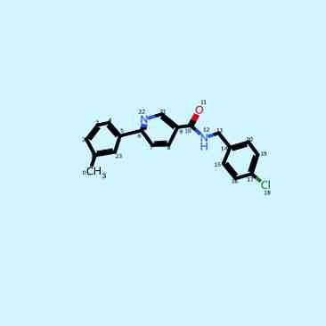 Cc1cccc(-c2ccc(C(=O)NCc3ccc(Cl)cc3)cn2)c1